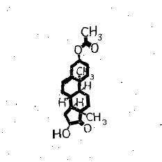 CC(=O)O[C@H]1CC[C@@]2(C)C(=CC[C@@H]3[C@@H]2CC[C@]2(C)C(=O)[C@H](O)C[C@@H]32)C1